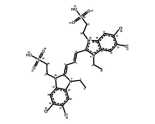 CCN1C(=CC=Cc2n(CC)c3cc(Cl)c(Cl)cc3[n+]2CCS(=O)(=O)O)N(CCS(=O)(=O)O)c2cc(Cl)c(Cl)cc21